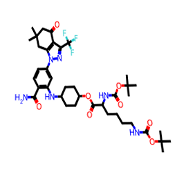 CC1(C)CC(=O)c2c(C(F)(F)F)nn(-c3ccc(C(N)=O)c(NC4CCC(OC(=O)C(CCCCNC(=O)OC(C)(C)C)NC(=O)OC(C)(C)C)CC4)c3)c2C1